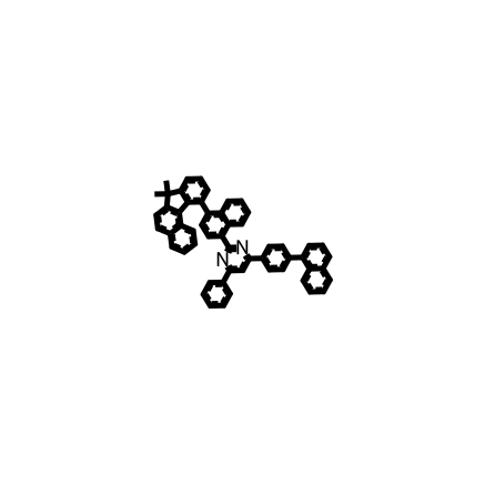 CC1(C)c2cccc(-c3ccc(-c4nc(-c5ccccc5)cc(-c5ccc(-c6cccc7ccccc67)cc5)n4)c4ccccc34)c2-c2c1ccc1ccccc21